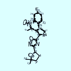 Cc1c2c(-c3nc(C4CCC(C)(C)O4)no3)ncn2c2ccc(F)cc2[n+]1[O-]